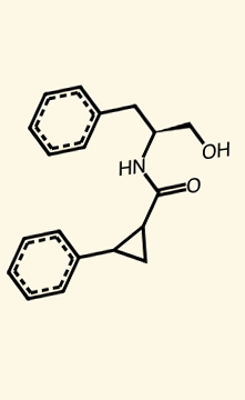 O=C(N[C@H](CO)Cc1ccccc1)C1CC1c1ccccc1